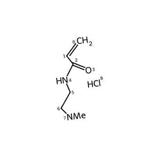 C=CC(=O)NCCNC.Cl